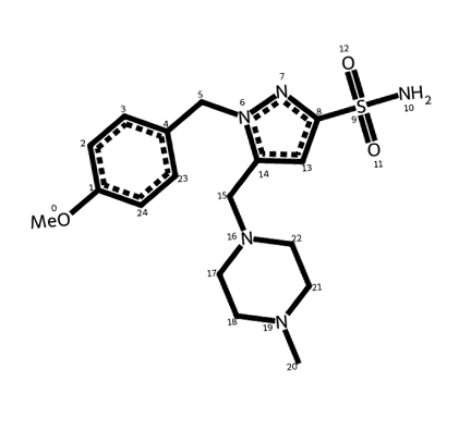 COc1ccc(Cn2nc(S(N)(=O)=O)cc2CN2CCN(C)CC2)cc1